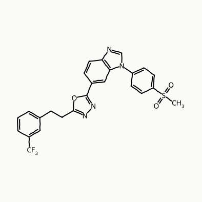 CS(=O)(=O)c1ccc(-n2cnc3ccc(-c4nnc(CCc5cccc(C(F)(F)F)c5)o4)cc32)cc1